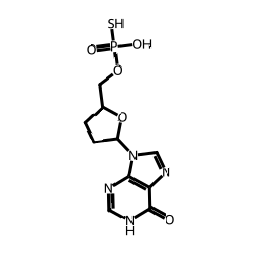 O=c1[nH]cnc2c1ncn2C1CCC(COP(=O)(O)S)O1